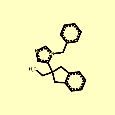 CCC1(c2cncn2Cc2ccccc2)Cc2ccccc2C1